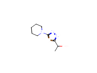 CC(O)c1nnc(N2CCCCC2)s1